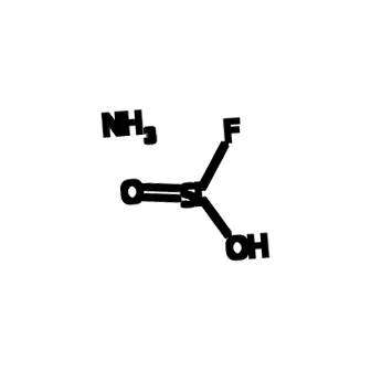 N.O=[Si](O)F